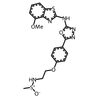 COc1cccc2sc(Nc3nnc(-c4ccc(OCCN[S+](C)[O-])cc4)o3)nc12